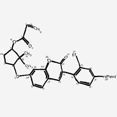 C=CC(=O)OC1CCC(Oc2ccc3cc(-c4ccc(CCCCC)cc4CC)c(=O)oc3c2)C1(C)C